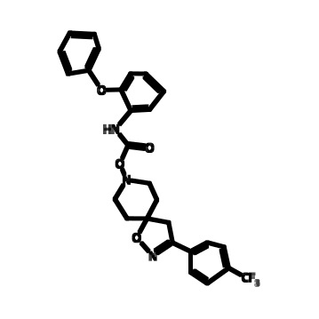 O=C(Nc1ccccc1Oc1ccccc1)ON1CCC2(CC1)CC(c1ccc(C(F)(F)F)cc1)=NO2